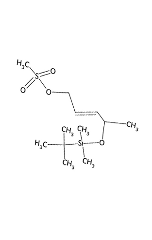 CC(C=CCOS(C)(=O)=O)O[Si](C)(C)C(C)(C)C